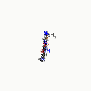 Cn1nnnc1SCC1CCN(C(=O)Oc2ccc(NC(=O)c3ccc(CN4CCCCC4)cc3)nc2)CC1